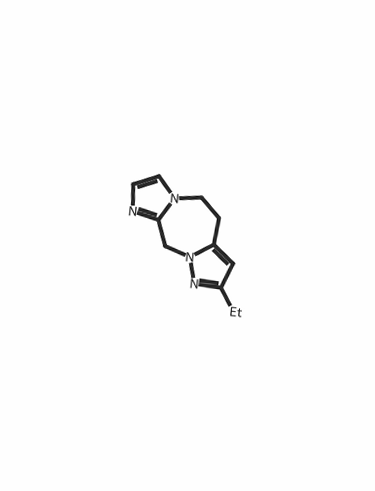 CCc1cc2n(n1)Cc1nccn1CC2